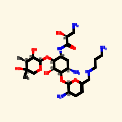 CC[C@@H]1[C@@H](O)[C@@H](O[C@@H]2[C@@H](O)[C@H](O[C@H]3OC(CNCCCN)=CC[C@H]3N)[C@@H](N)C[C@H]2NC(=O)[C@H](O)CN)OC[C@]1(C)O